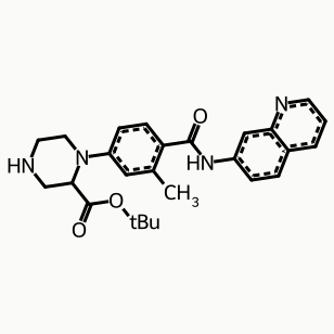 Cc1cc(N2CCNCC2C(=O)OC(C)(C)C)ccc1C(=O)Nc1ccc2cccnc2c1